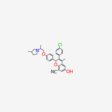 CC1=C(c2ccc(Cl)cc2)C(c2ccc(OCC(C)N3CCC(C)C3)cc2)Oc2c(C#N)cc(O)cc21